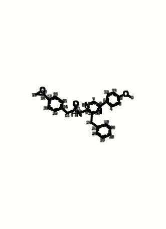 COc1ccc(-c2cnc(NC(=O)Cc3ccc(C4CO4)cc3)c(Cc3ccccc3)n2)cc1